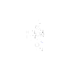 C=C(S/C(=C\C)c1cccc(C#N)c1)c1c(N)c(N)c(-c2ccc(C3=CCCC=C3)s2)c2nsnc12